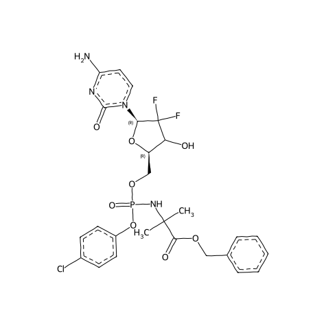 CC(C)(NP(=O)(OC[C@H]1O[C@@H](n2ccc(N)nc2=O)C(F)(F)C1O)Oc1ccc(Cl)cc1)C(=O)OCc1ccccc1